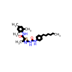 CCCCCCc1ccc(NC(=O)Nc2nc(C)c(C(=O)Nc3c(C)cc(C)cc3C)s2)cc1